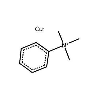 C[N+](C)(C)c1ccccc1.[Cu]